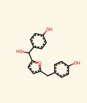 Oc1ccc(Cc2ccc(C(O)c3ccc(O)cc3)o2)cc1